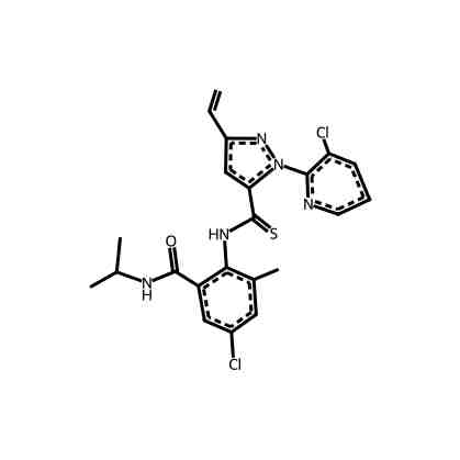 C=Cc1cc(C(=S)Nc2c(C)cc(Cl)cc2C(=O)NC(C)C)n(-c2ncccc2Cl)n1